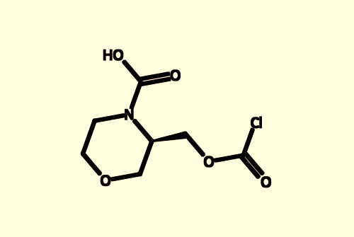 O=C(Cl)OC[C@H]1COCCN1C(=O)O